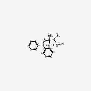 CCCCC(O[SiH](c1ccccc1)c1ccccc1)(C(=O)O)C(C(=O)O)C(C)(C)C